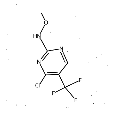 CONc1ncc(C(F)(F)F)c(Cl)n1